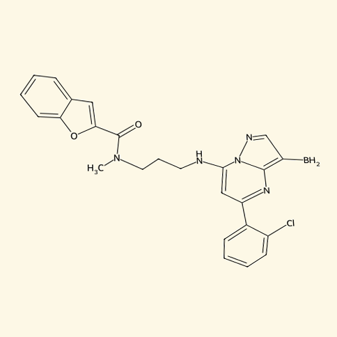 Bc1cnn2c(NCCCN(C)C(=O)c3cc4ccccc4o3)cc(-c3ccccc3Cl)nc12